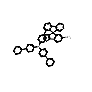 Cc1ccc2c(c1)C1(C3=C2C=CC3)c2ccccc2-c2cccc(-c3ccc(N(c4ccc(-c5ccccc5)cc4)c4ccc(-c5ccccc5)cc4)cc3)c21